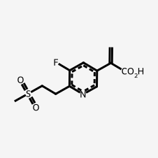 C=C(C(=O)O)c1cnc(CCS(C)(=O)=O)c(F)c1